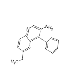 CCc1ccc2ncc(N)c(-c3ccccc3)c2c1